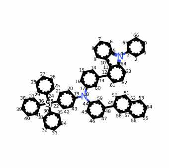 c1ccc(-n2c3ccccc3c3c(-c4cccc(N(c5ccc([Si](c6ccccc6)(c6ccccc6)c6ccccc6)cc5)c5cccc(-c6ccc7ccccc7c6)c5)c4)cccc32)cc1